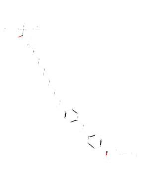 CCC(C)COC(=O)c1ccc(OCc2ccc(OCCCCCCCCCCCCOC(=O)C(C)(OC(C)=O)OC(C)=O)cc2)cc1